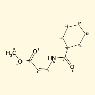 COC(=O)/C=C\NC(=O)C1CCCCC1